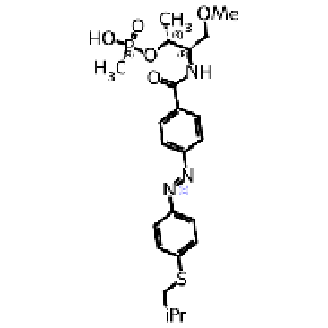 COC[C@@H](NC(=O)c1ccc(/N=N/c2ccc(SCC(C)C)cc2)cc1)[C@@H](C)O[P@](C)(=O)O